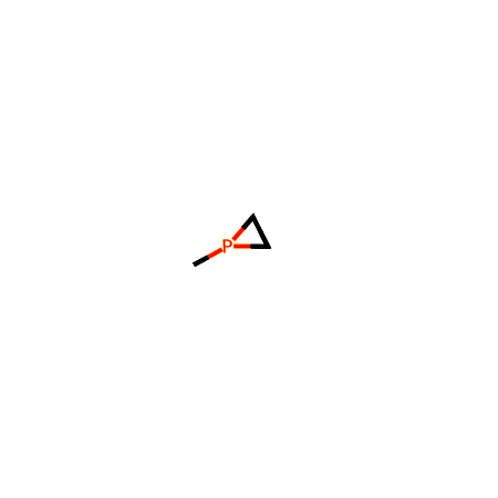 CP1CC1